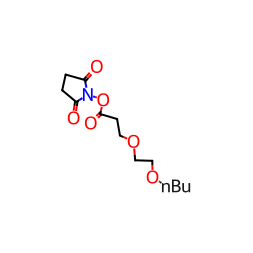 CCCCOCCOCCC(=O)ON1C(=O)CCC1=O